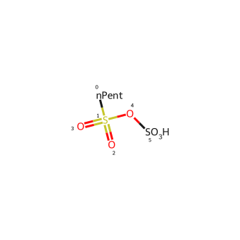 CCCCCS(=O)(=O)OS(=O)(=O)O